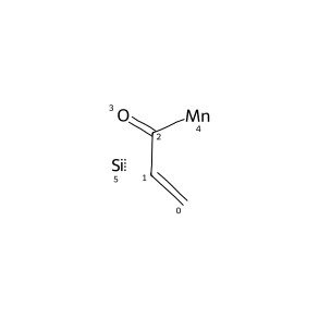 C=C[C](=O)[Mn].[Si]